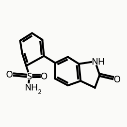 NS(=O)(=O)c1ccccc1-c1ccc2c(c1)NC(=O)C2